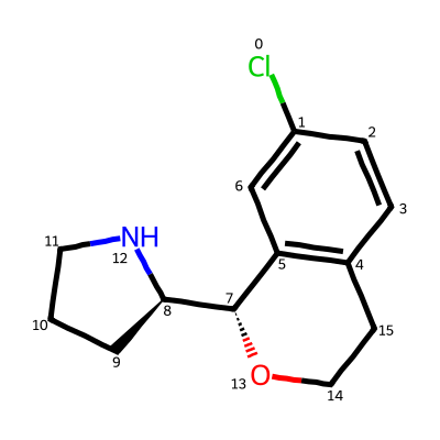 Clc1ccc2c(c1)[C@@H]([C@H]1CCCN1)OCC2